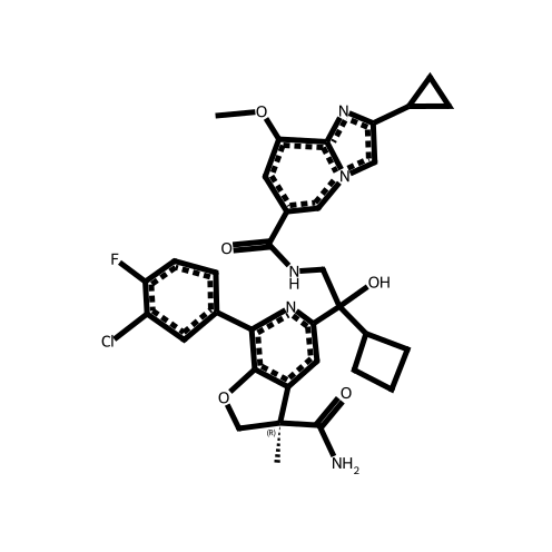 COc1cc(C(=O)NCC(O)(c2cc3c(c(-c4ccc(F)c(Cl)c4)n2)OC[C@]3(C)C(N)=O)C2CCC2)cn2cc(C3CC3)nc12